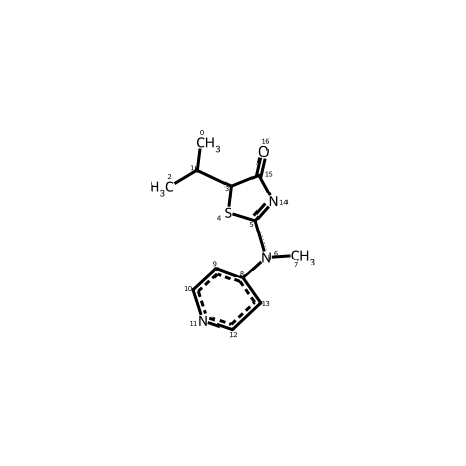 CC(C)C1SC(N(C)c2ccncc2)=NC1=O